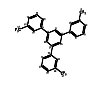 Cc1cccc(-c2cc(-c3cccc(C(F)(F)F)c3)cc(-c3cccc(C(F)(F)F)c3)c2)c1